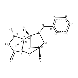 C[C@H]1OC(=O)N2C[C@@H]3C[C@H]([C@H]12)N(Cc1ccccc1)C3